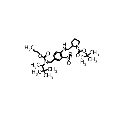 C=CCOC(=O)N(Cc1ccc(NCC2CCCN2C(=O)OC(C)(C)C)c([N+](=O)[O-])c1)C(C)C(C)(C)C